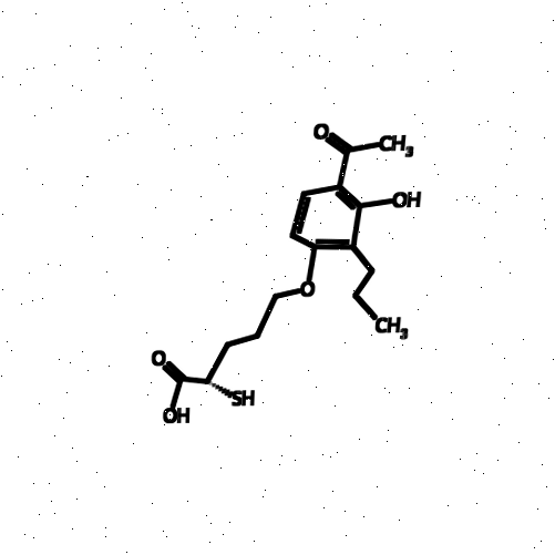 CCCc1c(OCCC[C@H](S)C(=O)O)ccc(C(C)=O)c1O